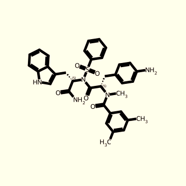 Cc1cc(C)cc(C(=O)N(C)[C@@H](Cc2ccc(N)cc2)C(=O)N([C@@H](Cc2c[nH]c3ccccc23)C(N)=O)S(=O)(=O)c2ccccc2)c1